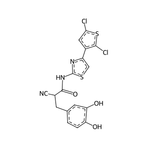 N#CC(Cc1ccc(O)c(O)c1)C(=O)Nc1nc(-c2cc(Cl)sc2Cl)cs1